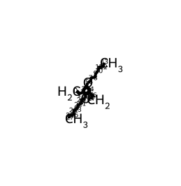 C=Cc1cc(OCCCCCCCC)cc(C=C)c1OCCCCCCCC